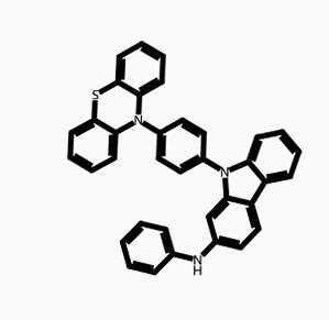 c1ccc(Nc2ccc3c4ccccc4n(-c4ccc(N5c6ccccc6Sc6ccccc65)cc4)c3c2)cc1